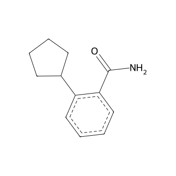 NC(=O)c1ccccc1C1CCCC1